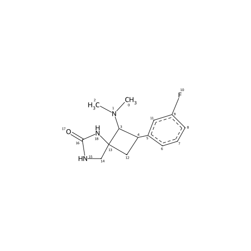 CN(C)C1C(c2cccc(F)c2)CC12CNC(=O)N2